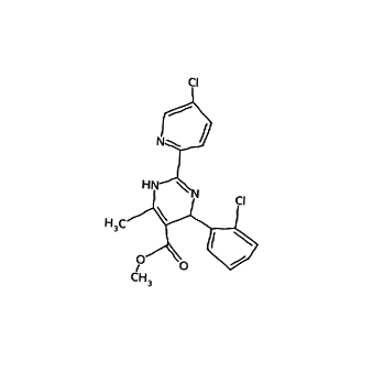 COC(=O)C1=C(C)NC(c2ccc(Cl)cn2)=NC1c1ccccc1Cl